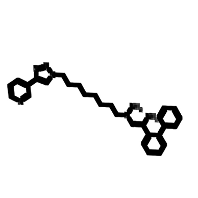 N/C(=C\N(N)CCCCCCCCn1cc(-c2cccnc2)nn1)c1ccccc1-c1ccccc1